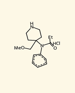 CCC(=O)N(c1ccccc1)C1(COC)CCNCC1.Cl